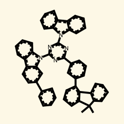 CC1(C)c2ccccc2-c2c(-c3cccc(-c4nc(-n5c6ccccc6c6ccccc65)nc(-n5c6ccccc6c6ccc(-c7ccccc7)cc65)n4)c3)cccc21